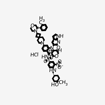 Cc1ccccc1[C@@H]1COCCN1C1CC2(CCN(c3ccc(C(=O)NS(=O)(=O)c4ccc(NC[C@H]5CC[C@](C)(O)CC5)c([N+](=O)[O-])c4)c(N4c5cc6cc[nH]c6nc5O[C@H]5COCC[C@@H]54)c3)CC2)C1.Cl